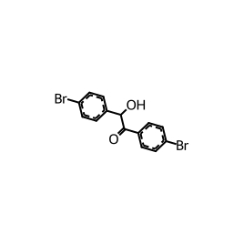 O=C(c1ccc(Br)cc1)C(O)c1ccc(Br)cc1